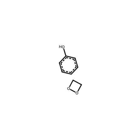 C1COO1.Oc1ccccc1